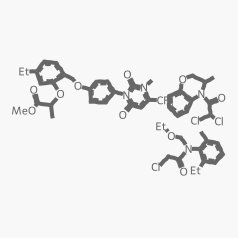 CC1COc2ccccc2N1C(=O)C(Cl)Cl.CCOCN(C(=O)CCl)c1c(C)cccc1CC.CCc1ccc(COc2ccc(-n3c(=O)cc(C(F)(F)F)n(C)c3=O)cc2)c(OC(C)C(=O)OC)c1